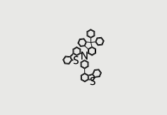 c1ccc(C2(c3ccccc3)c3ccccc3-c3c(N(c4ccc(-c5cccc6sc7ccccc7c56)cc4)c4cccc5c4sc4ccccc45)cccc32)cc1